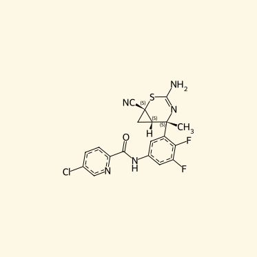 C[C@]1(c2cc(NC(=O)c3ccc(Cl)cn3)cc(F)c2F)N=C(N)S[C@@]2(C#N)C[C@H]21